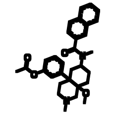 COC12CCC(N(C)C(=O)c3ccc4ccccc4c3)CC1(c1cccc(OC(C)=O)c1)CCN(C)C2